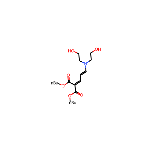 CCCCOC(=O)C(=C/C=C/N(CCO)CCO)C(=O)OCCCC